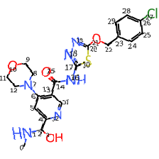 CNC(O)c1cc(N2CCOCC2)c(C(=O)Nc2nnc(OCc3ccc(Cl)cc3)s2)cn1